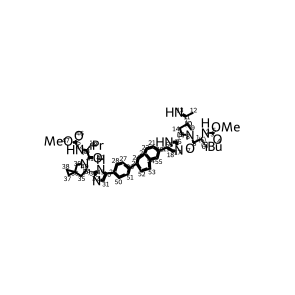 CC[C@H](C)[C@H](NC(=O)OC)C(=O)N1C[C@@H](C(C)=N)C[C@H]1c1ncc(-c2ccc3cc(-c4ccc(-c5cnc([C@@H]6CC7(CC7)CN6C(=O)[C@@H](NC(=O)OC)C(C)C)[nH]5)cc4)ccc3c2)[nH]1